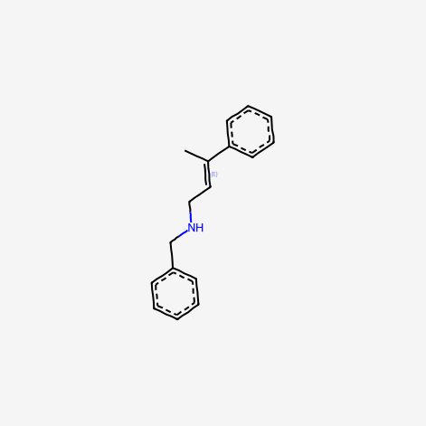 C/C(=C\CNCc1ccccc1)c1ccccc1